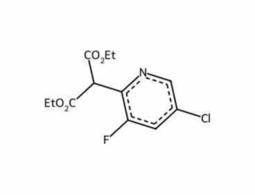 CCOC(=O)C(C(=O)OCC)c1ncc(Cl)cc1F